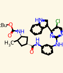 CC1C[C@@H](C(=O)Nc2cccc(Nc3ncc(Cl)c(-c4c[nH]c5ccccc45)n3)c2)C[C@H]1NC(=O)OC(C)(C)C